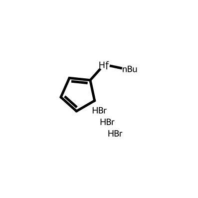 Br.Br.Br.CCC[CH2][Hf][C]1=CC=CC1